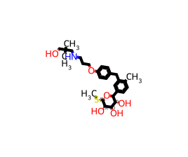 CS[C@H]1OC(c2ccc(C)c(Cc3ccc(OCCCNCC(C)(C)CO)cc3)c2)[C@H](O)[C@@H](O)[C@@H]1O